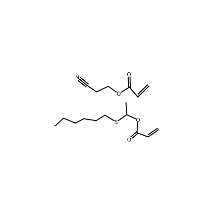 C=CC(=O)OC(C)SCCCCCC.C=CC(=O)OCCC#N